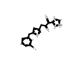 O=C(Cc1coc(Cc2cccc(F)c2)c1)C(=O)c1nc[nH]n1